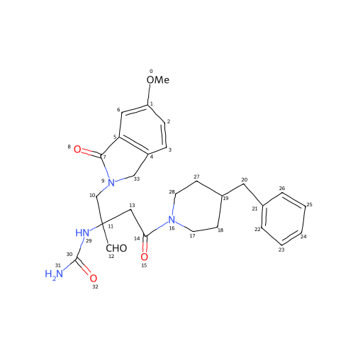 COc1ccc2c(c1)C(=O)N(CC(C=O)(CC(=O)N1CCC(Cc3ccccc3)CC1)NC(N)=O)C2